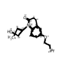 CC(C)CCOc1ccc2c(c1)CCC(=O)N2C1CC(C)(O)C1